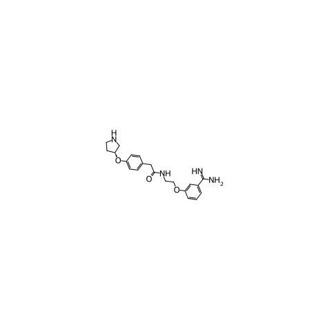 N=C(N)c1cccc(OCCNC(=O)Cc2ccc(O[C@H]3CCNC3)cc2)c1